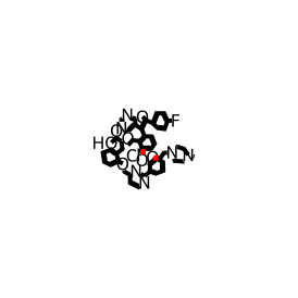 CCc1c(-c2c(-c3ccc(F)cc3)oc3ncnc(OC(Cc4ccccc4OCc4ccnc(-c5ccccc5OC)n4)C(=O)O)c23)ccc(OCCN2CCN(C)CC2)c1Cl